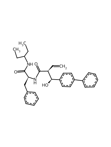 C=C[C@H](C(=O)N[C@@H](Cc1ccccc1)C(=O)NC(CC)CC)[C@H](O)c1ccc(-c2ccccc2)cc1